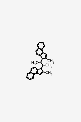 CC1=Cc2c(ccc3ccccc23)C1[C@H](C)[C@@H](C)C1C(C)=Cc2c1ccc1ccccc21